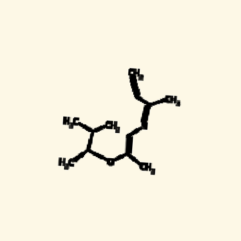 C=C/C(C)=N\C=C(/C)O[C@@H](C)C(C)C